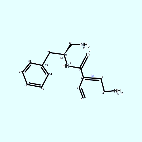 C=C/C(=C\CN)C(=O)N[C@H](CN)Cc1ccccc1